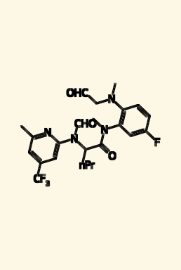 CCCC(C(=O)N(C)c1cc(F)ccc1N(C)CC=O)N(C=O)c1cc(C(F)(F)F)cc(C)n1